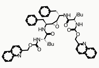 CC[C@H](C)[C@H](NC(=O)OCc1ccc2ccccc2n1)C(=O)N[C@@H](Cc1ccccc1)[C@@H]1O[C@@H]1[C@H](Cc1ccccc1)NC(=O)[C@@H](NC(=O)OCc1ccc2ccccc2n1)[C@@H](C)CC